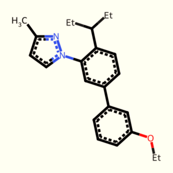 CCOc1cccc(-c2ccc(C(CC)CC)c(-n3ccc(C)n3)c2)c1